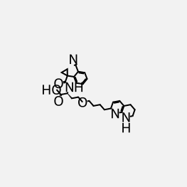 N#Cc1ccccc1C1(C(=O)N[C@@H](CCOCCCCc2ccc3c(n2)NCCC3)C(=O)O)CC1